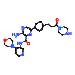 Nc1ncc(-c2ccc(CCC(=O)N3CCNCC3)cc2)nc1C(=O)Nc1cnccc1N1CCOCC1